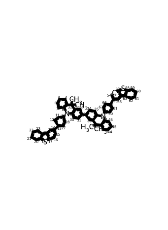 CC1(C)c2ccccc2N(c2ccc(-c3ccc4sc5ccccc5c4c3)cc2)c2ccc(-c3ccc4c(c3)C(C)(C)c3ccccc3N4c3ccc(-c4ccc5sc6ccccc6c5c4)cc3)cc21